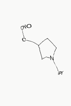 CC(C)N1CCC(OC=O)C1